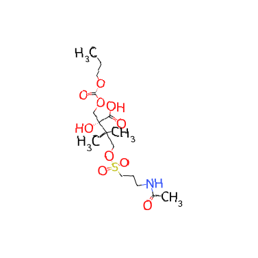 CCCOC(=O)OC[C@@](O)(C(=O)O)C(C)(C)COS(=O)(=O)CCCNC(C)=O